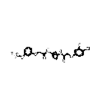 O=C(COc1cccc(OC(F)(F)F)c1)NC1CC2(NC(=O)COc3ccc(Cl)c(F)c3)CC1C2